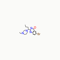 CCCC(c1nc2ccc(Br)cc2c(=O)n1C)N1CCCN(CC)CC1